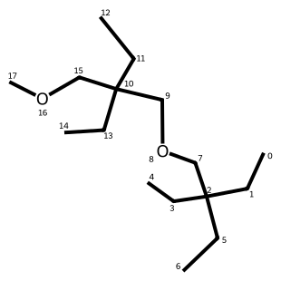 CCC(CC)(CC)COCC(CC)(CC)COC